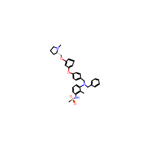 Cc1c(NS(C)(=O)=O)cccc1N(Cc1ccccc1)Cc1ccc(Oc2cccc(OC[C@@H]3CCCN3C)c2)cc1